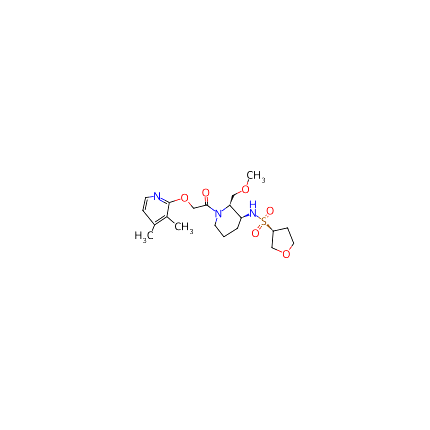 COC[C@H]1[C@@H](NS(=O)(=O)[C@H]2CCOC2)CCCN1C(=O)COc1nccc(C)c1C